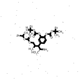 CCC(C)(C)OC(=O)Oc1ccc(C(C(C)COC(=O)OC(C)C(C)C)[C@H](N)C(=O)O)cc1OC(=O)OC(C)(C)CC